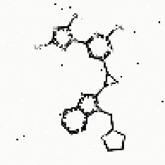 Cc1nc(C2CC2c2nc3ccccc3n2CC2CCCO2)cc(-n2nc(C)nc2C)n1